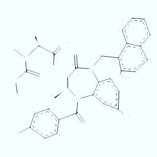 COc1ccc2ccccc2c1CN1C(=O)[C@@H](NC(=O)[C@H](C)N(C)C(=O)OC(C)(C)C)[C@H](C)N(C(=O)c2ccc(C(=O)O)cc2)c2cc(C#N)ccc21